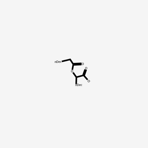 CCCCCCCCCCCC(=O)OC(CCCCCCCCCC)C([O])=O